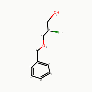 OC[C@@H](F)COCc1ccccc1